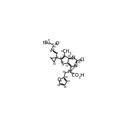 Cc1c(C2(C=N[S+]([O-])C(C)(C)C)CC2)sc2c(N(Cc3ccco3)C(=O)O)nc(Cl)nc12